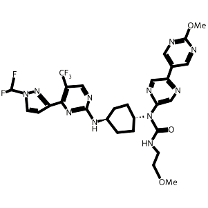 COCCNC(=O)N(c1cnc(-c2cnc(OC)nc2)cn1)[C@H]1CC[C@H](Nc2ncc(C(F)(F)F)c(-c3ccn(C(F)F)n3)n2)CC1